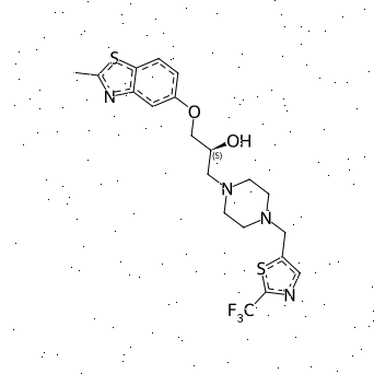 Cc1nc2cc(OC[C@@H](O)CN3CCN(Cc4cnc(C(F)(F)F)s4)CC3)ccc2s1